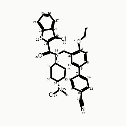 CCOc1ccc(-c2ccc(C#N)cc2)cc1CN(C(=O)c1sc2ccccc2c1Cl)[C@H]1CC[C@H](N(C)Cl)CC1